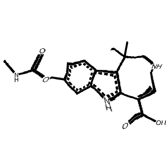 CNC(=O)Oc1ccc2c3c([nH]c2c1)C(C(=O)O)=CNCC3(C)C